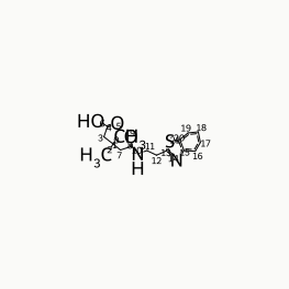 CC(C)(CC(=O)O)CC(=O)NCCc1nc2ccccc2s1